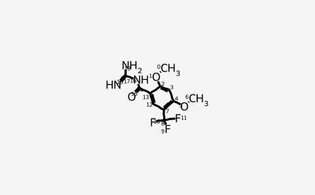 COc1cc(OC)c(C(F)(F)F)cc1C(=O)NC(=N)N